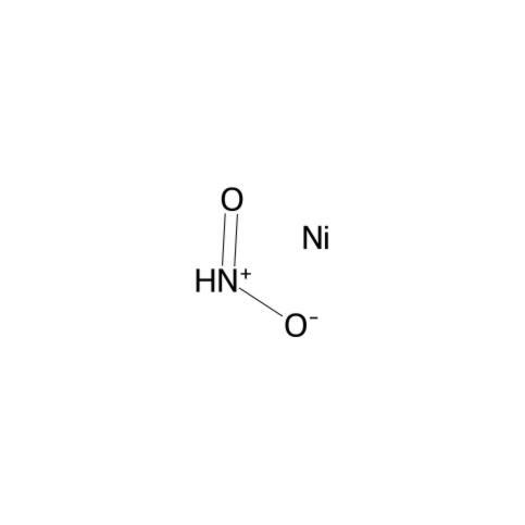 O=[NH+][O-].[Ni]